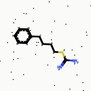 N=C(N)SCCCCc1ccccc1